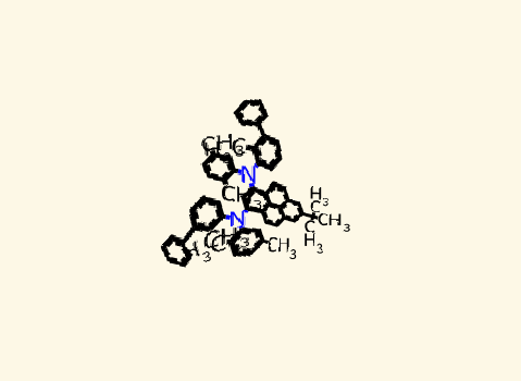 Cc1ccc(C)c(N(c2cccc(-c3ccccc3)c2C)c2cc(N(c3cc(C)ccc3C)c3cccc(-c4ccccc4)c3C)c3ccc4cc(C(C)(C)C)cc5ccc2c3c54)c1